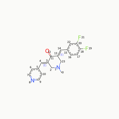 CN1C/C(=C\c2ccncc2)C(=O)/C(=C/c2ccc(F)c(F)c2)C1